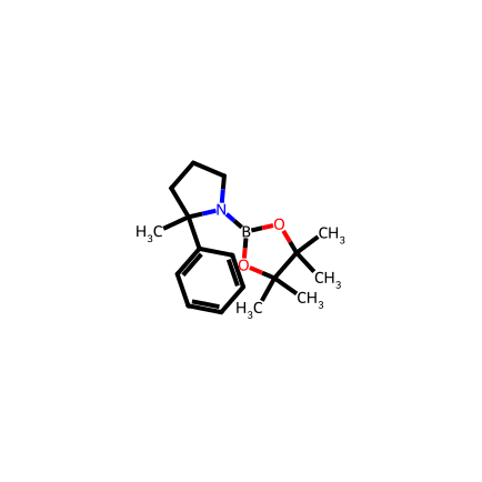 CC1(c2ccccc2)CCCN1B1OC(C)(C)C(C)(C)O1